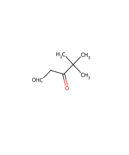 CC(C)(C)C(=O)CC=O